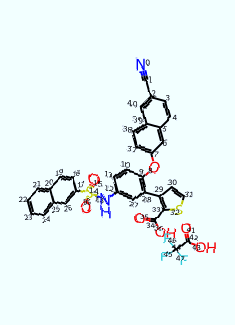 N#Cc1ccc2cc(Oc3ccc(NS(=O)(=O)c4ccc5ccccc5c4)cc3-c3ccsc3C(=O)O)ccc2c1.O=C(O)C(F)(F)F